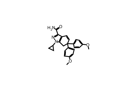 COc1ccc(C2(c3ccc(OC)cc3)C=Cc3c(C(N)=O)nn(C4CC4)c3C2)cc1